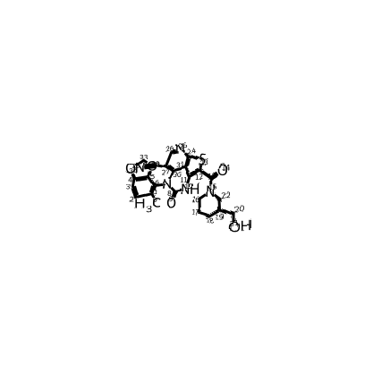 Cc1ccc2c(c1N1C(=O)Nc3c(C(=O)N4CCCC(CO)C4)sc4ncc(C#N)c1c34)OCO2